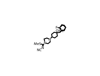 COC1(Cc2ccccc2F)CCC(N2CCN(C(=NC#N)SC)CC2)CC1